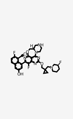 C#Cc1c(F)ccc2cc(O)cc(-c3nc4c5c(nc(OCC6(CN7CCC[C@H](F)C7)CC6)nc5c3F)N3CCNC[C@H]3CO4)c12